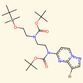 CC(C)(C)OC(=O)N(CCO[Si](C)(C)C(C)(C)C)CCN(C(=O)OC(C)(C)C)c1ccn2ncc(Br)c2n1